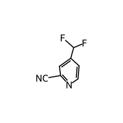 N#Cc1cc(C(F)F)ccn1